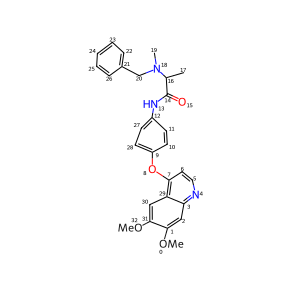 COc1cc2nccc(Oc3ccc(NC(=O)C(C)N(C)Cc4ccccc4)cc3)c2cc1OC